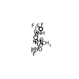 CN1OC(C(=O)NCC(F)F)Cn2nc3c(c2C1=O)CN(C(=O)Nc1ccc(F)c(C(F)(F)F)c1)CC3